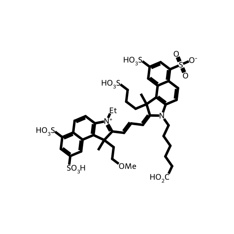 CC[N+]1=C(/C=C/C=C2/N(CCCCCC(=O)O)c3ccc4c(S(=O)(=O)[O-])cc(S(=O)(=O)O)cc4c3C2(C)CCCS(=O)(=O)O)C(C)(CCOC)c2c1ccc1c(S(=O)(=O)O)cc(S(=O)(=O)O)cc21